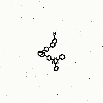 N#Cc1ccc2ccc(-c3ccc(C45CC6CC(C4)CC(c4ccc(-c7nc(-c8ccccc8)nc(-c8ccccc8)n7)cc4)(C6)C5)cc3)cc2c1